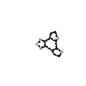 c1cc2c3nonc3c3ccoc3c2o1